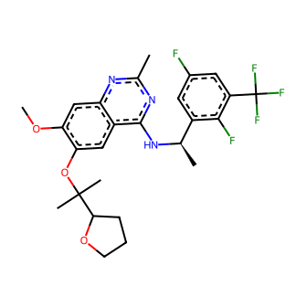 COc1cc2nc(C)nc(N[C@H](C)c3cc(F)cc(C(F)(F)F)c3F)c2cc1OC(C)(C)C1CCCO1